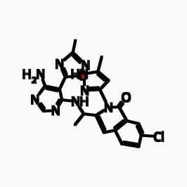 Cc1noc(-c2c(N)ncnc2NC(C)c2cc3ccc(Cl)cc3c(=O)n2-c2cc(C)[nH]n2)n1